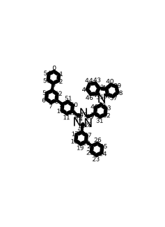 c1ccc(-c2cccc(-c3ccc(-c4nc(-c5cccc(-c6ccccc6)c5)nc(-c5cccc(-n6c7ccccc7c7ccccc76)c5)n4)cc3)c2)cc1